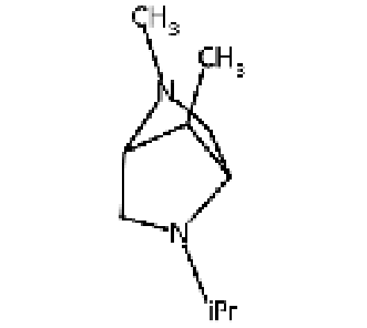 CC1C2CN(C(C)C)C1CN2C